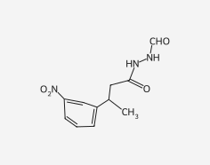 CC(CC(=O)NNC=O)c1cccc([N+](=O)[O-])c1